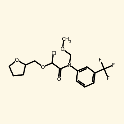 COCN(C(=O)C(Cl)OCC1CCCO1)c1cccc(C(F)(F)F)c1